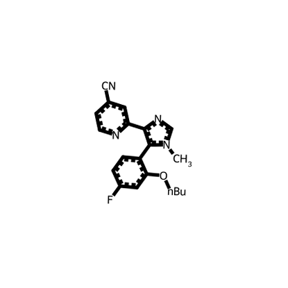 CCCCOc1cc(F)ccc1-c1c(-c2cc(C#N)ccn2)ncn1C